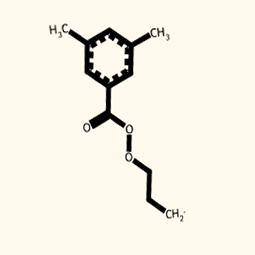 [CH2]CCOOC(=O)c1cc(C)cc(C)c1